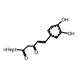 CCCCCCCC(=O)CC(=O)C=Cc1ccc(O)c(O)c1